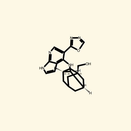 OC[C@]12CC3C[C@H](C1)[C@H](Nc1c(-c4nnco4)cnc4[nH]ccc14)[C@@H](C3)C2